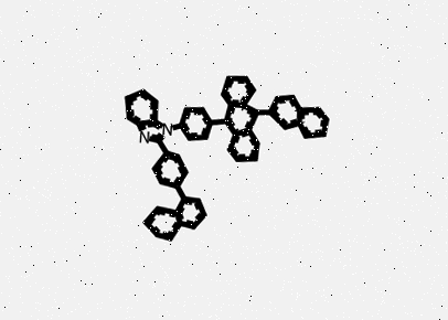 c1ccc2cc(-c3c4ccccc4c(-c4ccc(-n5c(-c6ccc(-c7cccc8ccccc78)cc6)nc6ccccc65)cc4)c4ccccc34)ccc2c1